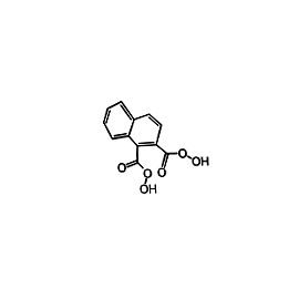 O=C(OO)c1ccc2ccccc2c1C(=O)OO